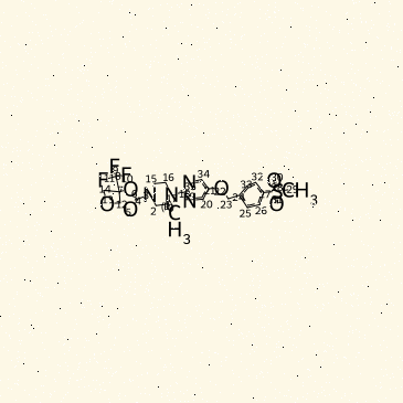 C[C@@H]1CN(C(=O)OC2(C(F)(F)F)COC2)CCN1c1ncc(OCc2ccc(S(C)(=O)=O)cc2)cn1